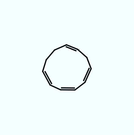 [C]1=CCCC=CC=CC=CC1